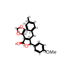 COc1ccc(C2OC(=O)C(C3=COCO3)=C2Cc2ccc(C)cc2)cc1